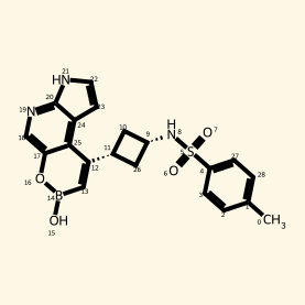 Cc1ccc(S(=O)(=O)N[C@H]2C[C@@H](C3=CB(O)Oc4cnc5[nH]ccc5c43)C2)cc1